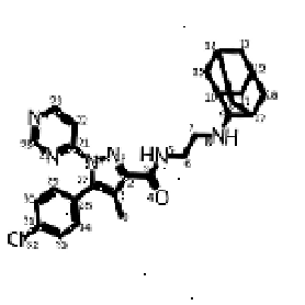 Cc1c(C(=O)NCCNC2C3CC4CC(C3)CC2C4)nn(-c2ccncn2)c1-c1ccc(Cl)cc1